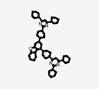 c1ccc(-c2cc(-c3ccc(-c4cc(-c5ccc(-c6nc(-c7ccccc7)cc(-c7ccccc7)n6)cc5)cc5oc6ccccc6c45)cc3)nc(-c3ccccc3)n2)cc1